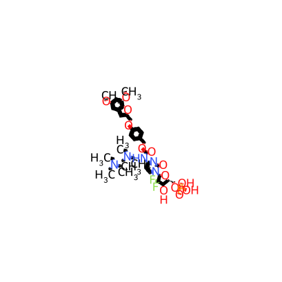 CCN(CC)CC.CCN(CC)CC.COc1cc(OC)c2oc(COc3ccc(COC(=O)Nc4ccn([C@@H]5O[C@H](COP(=O)(O)O)[C@@H](O)C5(F)F)c(=O)n4)cc3)cc2c1